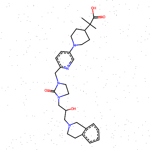 CC(C)(C(=O)O)C1CCN(c2ccc(CN3CCN(CC(O)CN4CCc5ccccc5C4)C3=O)nc2)CC1